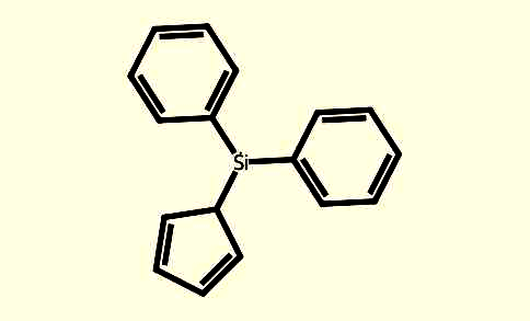 C1=CC([Si](c2ccccc2)c2ccccc2)C=C1